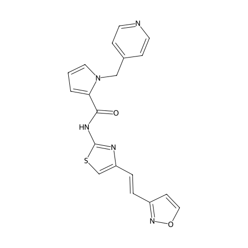 O=C(Nc1nc(/C=C/c2ccon2)cs1)c1cccn1Cc1ccncc1